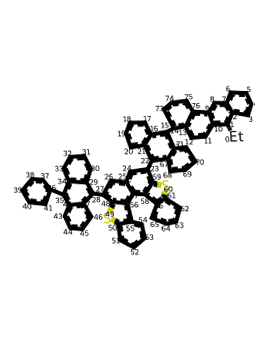 CCc1c2ccccc2cc2c1ccc1c(-c3c4ccccc4c(-c4cc5cc(-c6c7ccccc7c(-c7ccccc7)c7ccccc67)c6sc7ccccc7c6c5c5c4sc4ccccc45)c4ccccc34)cccc12